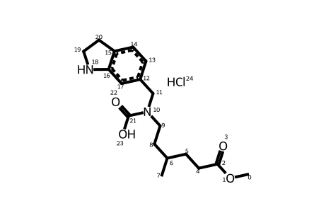 COC(=O)CCC(C)CCN(Cc1ccc2c(c1)NCC2)C(=O)O.Cl